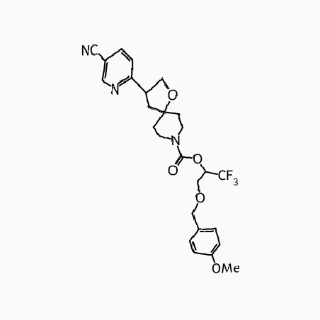 COc1ccc(COCC(OC(=O)N2CCC3(CC2)CC(c2ccc(C#N)cn2)CO3)C(F)(F)F)cc1